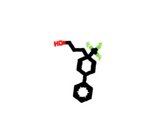 OCCCC1(C(F)(F)F)C=CC(c2ccccc2)C=C1